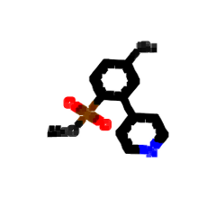 COS(=O)(=O)c1ccc(C(C)(C)C)cc1-c1ccncc1